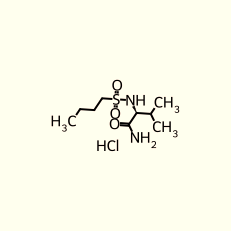 CCCCS(=O)(=O)N[C@H](C(N)=O)C(C)C.Cl